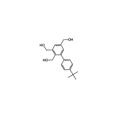 CC(C)(C)c1ccc(-c2cc(CO)cc(CO)c2CO)cc1